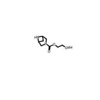 COCCOC(=O)N1CC2CC(C1)N2